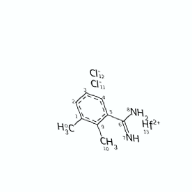 Cc1cccc(C(=N)N)c1C.[Cl-].[Cl-].[Hf+2]